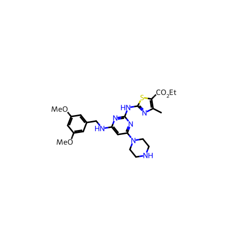 CCOC(=O)c1sc(Nc2nc(NCc3cc(OC)cc(OC)c3)cc(N3CCNCC3)n2)nc1C